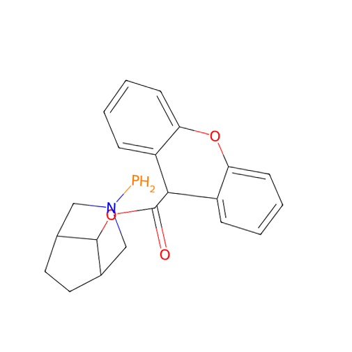 O=C(OC1C2CCC1CN(P)C2)C1c2ccccc2Oc2ccccc21